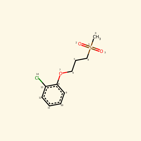 CS(=O)(=O)CCCOc1[c]cccc1Cl